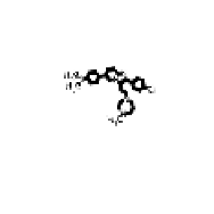 CN1CCCN(CCc2c(-c3ccc(Cl)cc3)nc3ccc(-c4ccc(N(C)C)cc4)cn23)CC1